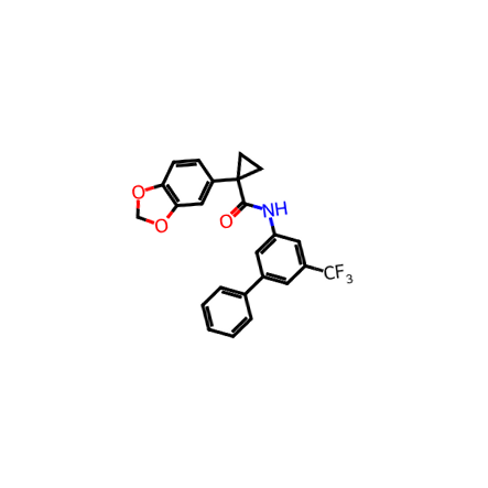 O=C(Nc1cc(-c2ccccc2)cc(C(F)(F)F)c1)C1(c2ccc3c(c2)OCO3)CC1